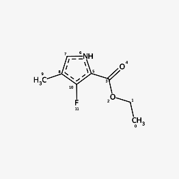 CCOC(=O)c1[nH]cc(C)c1F